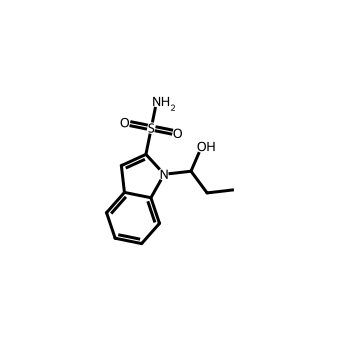 CCC(O)n1c(S(N)(=O)=O)cc2ccccc21